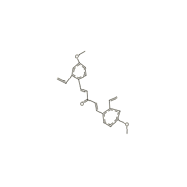 C=Cc1cc(OC)ccc1/C=C/C(=O)/C=C/c1ccc(OC)cc1C=C